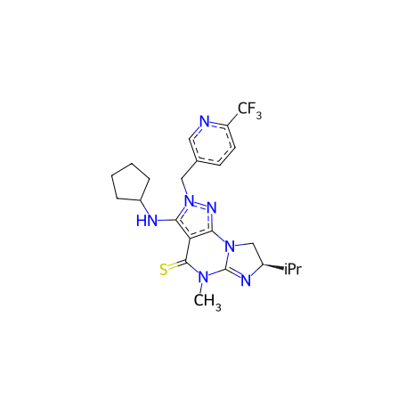 CC(C)[C@@H]1CN2C(=N1)N(C)C(=S)c1c2nn(Cc2ccc(C(F)(F)F)nc2)c1NC1CCCC1